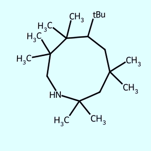 CC1(C)CC(C(C)(C)C)C(C)(C)C(C)(C)CNC(C)(C)C1